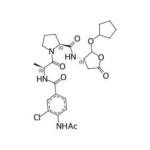 CC(=O)Nc1ccc(C(=O)N[C@@H](C)C(=O)N2CCC[C@H]2C(=O)N[C@H]2CC(=O)OC2OC2CCCC2)cc1Cl